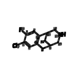 Fc1cc2c(cc1Cl)CC1CNCC2C1